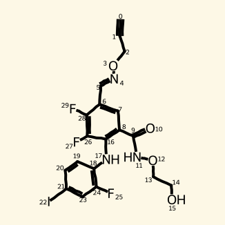 C#CCON=Cc1cc(C(=O)NOCCO)c(Nc2ccc(I)cc2F)c(F)c1F